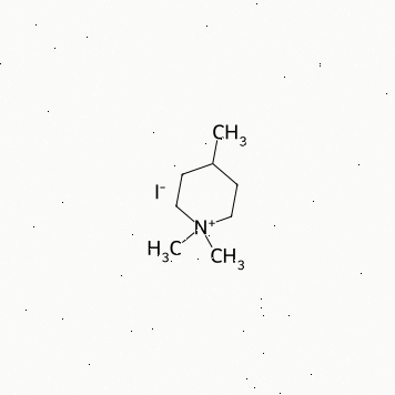 CC1CC[N+](C)(C)CC1.[I-]